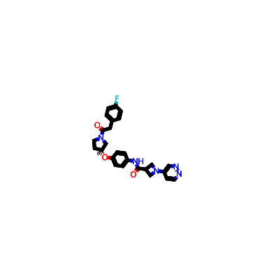 O=C(Nc1ccc(O[C@@H]2CCN(C(=O)Cc3ccc(F)cc3)C2)cc1)C1CN(c2ccnnc2)C1